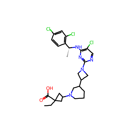 CCC1(C(=O)O)CC(N2CCCC(C3CN(c4ncc(Cl)c(N[C@H](C)c5ccc(Cl)cc5Cl)n4)C3)C2)C1